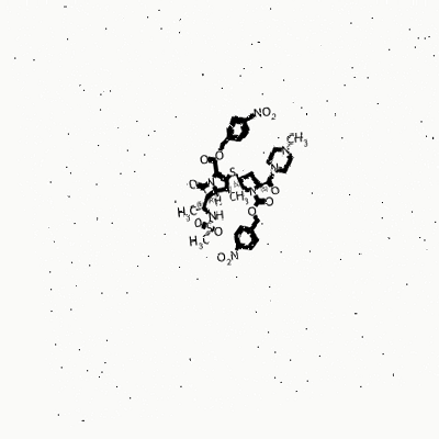 C[C@@H](NS(C)(=O)=O)[C@@H]1C(=O)N2C(C(=O)OCc3ccc([N+](=O)[O-])cc3)=C(S[C@H]3C[C@@H](C(=O)N4CCN(C)CC4)N(C(=O)OCc4ccc([N+](=O)[O-])cc4)C3)[C@H](C)[C@@H]12